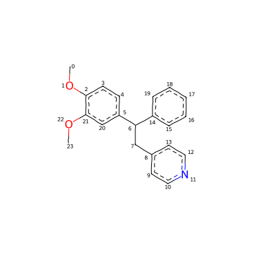 COc1ccc(C(Cc2ccncc2)c2ccccc2)cc1OC